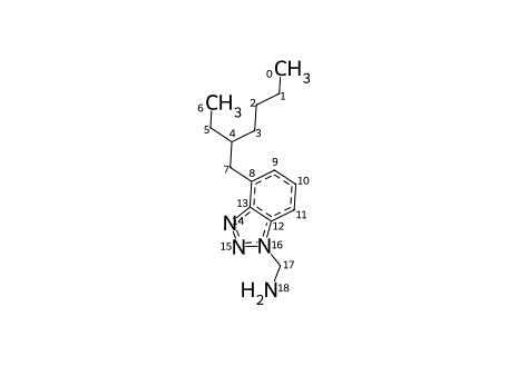 CCCCC(CC)Cc1cccc2c1nnn2CN